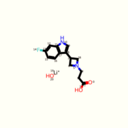 O=C(O)CCN1CC(c2c[nH]c3cc(F)ccc23)C1.[Li+].[OH-]